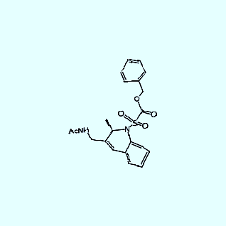 CC(=O)NCC1=Cc2ccccc2N(S(=O)(=O)C(=O)OCc2ccccc2)[C@@H]1C